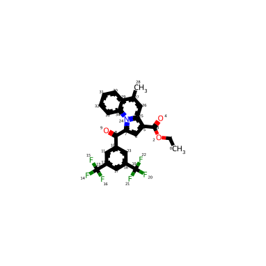 CCOC(=O)c1cc(C(=O)c2cc(C(F)(F)F)cc(C(F)(F)F)c2)n2c1cc(C)c1ccccc12